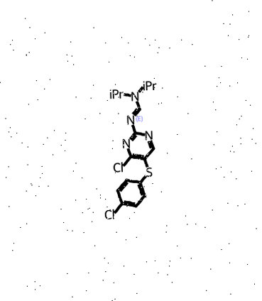 CC(C)N(/C=N/c1ncc(Sc2ccc(Cl)cc2)c(Cl)n1)C(C)C